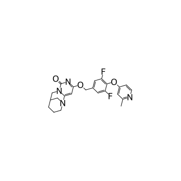 Cc1cc(Oc2c(F)cc(COc3cc4n(c(=O)n3)CC3CCCN4C3)cc2F)ccn1